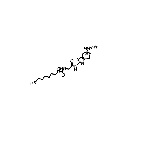 CCCN[C@H]1CCc2nc(NC(=O)CNC(=O)NCCCCCCS)sc2C1